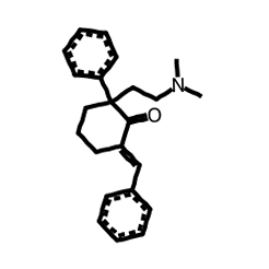 CN(C)CCC1(c2ccccc2)CCC/C(=C\c2ccccc2)C1=O